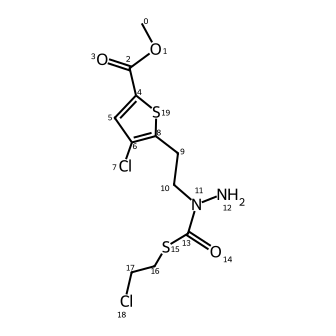 COC(=O)c1cc(Cl)c(CCN(N)C(=O)SCCCl)s1